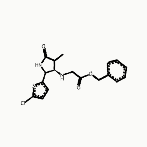 CC1C(=O)NC(c2ccc(Cl)s2)[C@@H]1NCC(=O)OCc1ccccc1